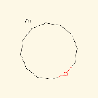 C1CCCCCOCCCCC1.[Zn]